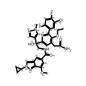 CCOc1c(CC(N)=O)cc([C@@](O)(CNC(=O)c2cc(OC)c3nn(C4CC4)cc3c2)c2cnn(C)c2)nc1-c1cc(Cl)c(F)cc1F